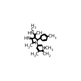 C=C1C(C)=CC(N2C(=C)C(=N)/C(=C(/C)NC)C2c2ccc(C)cc2)=CN1C